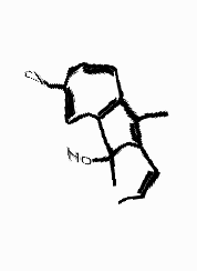 C/C=C\C1=C(C)c2ccc(Cl)cc2C1(C)O